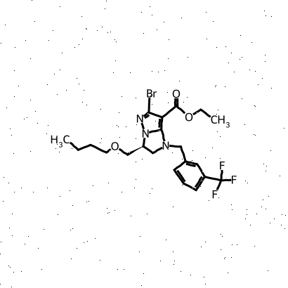 CCCCOC[C@@H]1CN(Cc2cccc(C(F)(F)F)c2)c2c(C(=O)OCC)c(Br)nn21